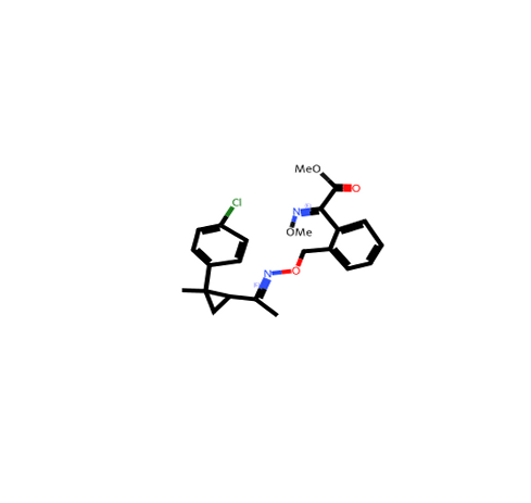 CO/N=C(/C(=O)OC)c1ccccc1CO/N=C(\C)C1CC1(C)c1ccc(Cl)cc1